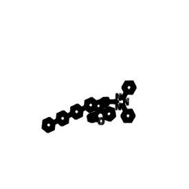 c1ccc(-c2ccc(-c3ccc(-c4ccc5c(c4)C4(c6ccccc6Oc6ccccc64)c4cc(-c6nc(-c7ccccc7)nc(-c7ccccc7)n6)ccc4-5)cc3)cc2)cc1